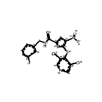 O=C(NCc1cccc(F)c1)c1cc([N+](=O)[O-])c(Sc2c(Cl)cncc2Cl)s1